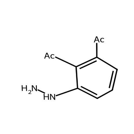 CC(=O)c1cccc(NN)c1C(C)=O